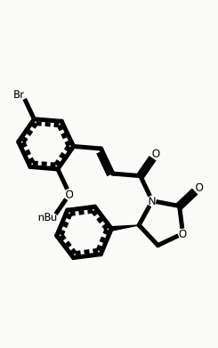 CCCCOc1ccc(Br)cc1/C=C/C(=O)N1C(=O)OC[C@H]1c1ccccc1